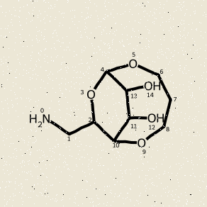 NCC1OC2OCCCOC1C(O)C2O